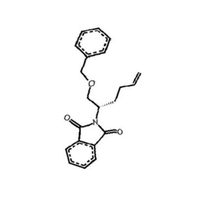 C=CCC[C@@H](COCc1ccccc1)N1C(=O)c2ccccc2C1=O